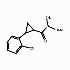 CON(C)C(=O)C1CC1c1ccccc1C#N